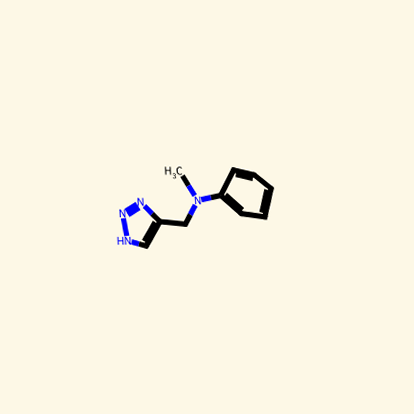 CN(Cc1c[nH]nn1)c1ccccc1